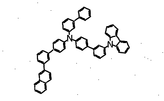 c1ccc(-c2cccc(N(c3ccc(-c4cccc(-c5ccc6ccccc6c5)c4)cc3)c3ccc(-c4cccc(-n5c6ccccc6c6ccccc65)c4)cc3)c2)cc1